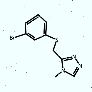 Cn1cnnc1CSc1cccc(Br)c1